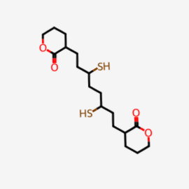 O=C1OCCCC1CCC(S)CCC(S)CCC1CCCOC1=O